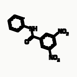 O=C(Nc1[c]cccc1)c1cc([N+](=O)[O-])cc([N+](=O)[O-])c1